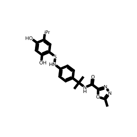 Cc1nnc(C(=O)NC(C)(C)c2ccc(NSc3cc(C(C)C)c(O)cc3O)cc2)o1